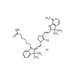 C[n+]1cccc2c1N=C(/C=C/C1=C(Cl)C(C=C=C3N(CCCCCC(=O)O)c4ccccc4C3(C)C)CC1)C2(C)C.[Cl-]